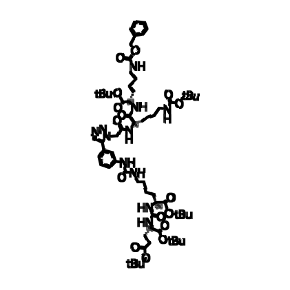 CC(C)(C)OC(=O)CC[C@H](NC(=O)N[C@@H](CCCCNC(=O)Nc1cccc(-c2cnnn2CC(=O)N[C@@H](CCCCNC(=O)OC(C)(C)C)C(=O)N[C@@H](CCCCNC(=O)OCc2ccccc2)C(=O)OC(C)(C)C)c1)C(=O)OC(C)(C)C)C(=O)OC(C)(C)C